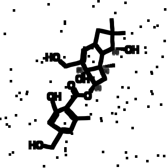 Cc1cc(CO)cc(O)c1C(=O)O[C@@H]1C[C@]2(C)C3C(C=C(CO)[C@]12O)CC(C)(C)[C@@H]3O